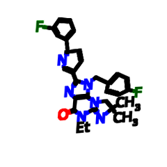 CCN1C(=O)c2nc(-c3ccc(-c4cccc(F)c4)nc3)n(Cc3ccc(F)cc3)c2N2CC(C)(C)N=C12